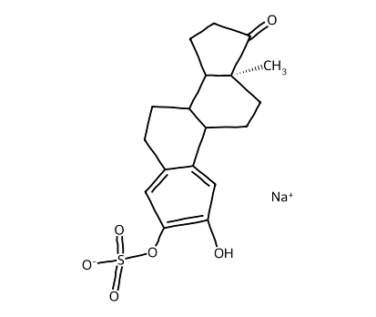 C[C@]12CCC3c4cc(O)c(OS(=O)(=O)[O-])cc4CCC3C1CCC2=O.[Na+]